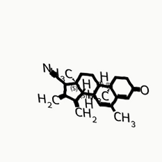 C=C1C(=C)[C@H]2[C@@H]3C=C(C)C4=CC(=O)CC[C@]4(C)[C@@H]3CC[C@]2(C)C1C#N